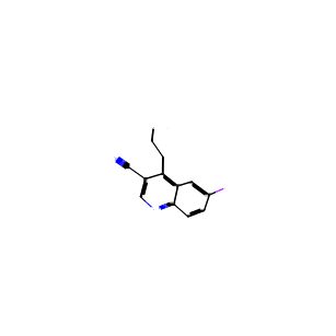 CCCc1c(C#N)cnc2ccc(I)cc12